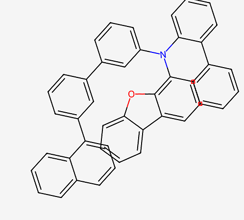 c1ccc(-c2ccccc2N(c2cccc(-c3cccc(-c4cccc5ccccc45)c3)c2)c2cccc3c2oc2ccccc23)cc1